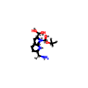 C[C@@H](N)c1ccc2cc(B(O)O)n(C(=O)OC(C)(C)C)c2n1